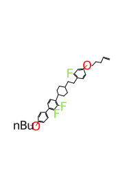 C=CCCCOc1ccc(CCC2CCC(c3ccc(-c4ccc(OCCCC)cc4)c(F)c3F)CC2)c(F)c1